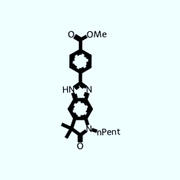 CCCCCN1C(=O)C(C)(C)c2cc3[nH]c(-c4ccc(C(=O)OC)cc4)nc3cc21